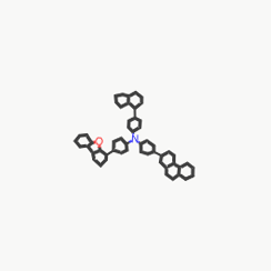 c1ccc2c(-c3ccc(N(c4ccc(-c5ccc6c(ccc7ccccc76)c5)cc4)c4ccc(-c5cccc6c5oc5ccccc56)cc4)cc3)cccc2c1